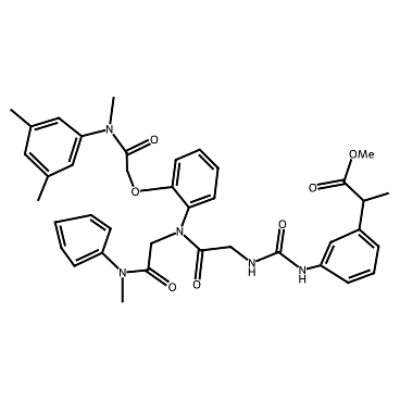 COC(=O)C(C)c1cccc(NC(=O)NCC(=O)N(CC(=O)N(C)c2ccccc2)c2ccccc2OCC(=O)N(C)c2cc(C)cc(C)c2)c1